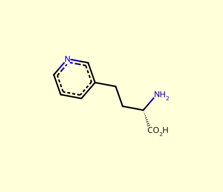 N[C@@H](CCc1cccnc1)C(=O)O